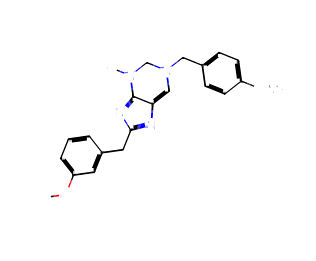 COc1ccc(CN2C=C3N=C(Cc4cccc(OC(F)(F)F)c4)N=C3N(C)C2)cc1